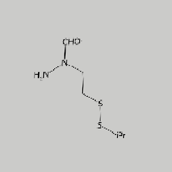 CC(C)SSCCN(N)[C]=O